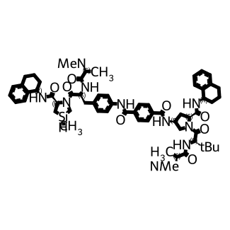 CN[C@@H](C)C(=O)N[C@@H](Cc1ccc(NC(=O)c2ccc(C(=O)N[C@H]3C[C@@H](C(=O)N[C@@H]4CCCc5ccccc54)N(C(=O)[C@@H](NC(=O)[C@H](C)NC)C(C)(C)C)C3)cc2)cc1)C(=O)N1C[SiH](C)C[C@H]1C(=O)N[C@@H]1CCCc2ccccc21